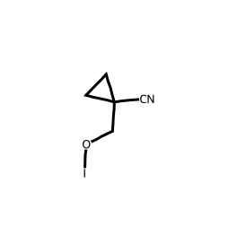 N#CC1(COI)CC1